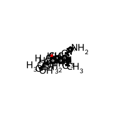 C=C(C)C1CC[C@]2(CC(=O)N3CC[C@@H](N)C3)CC[C@]3(C)[C@H](CC[C@@H]4[C@@]5(C)CC[C@H](OC(=O)CC(C)(C)C(=O)O)C(C)(C)[C@@H]5CC[C@]43C)[C@@H]12